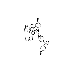 CC1(C)C(=O)N(CCN2CCC(C(=O)c3ccc(F)cc3)CC2)c2ccc(F)cc21.Cl